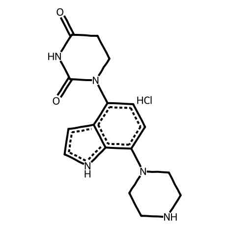 Cl.O=C1CCN(c2ccc(N3CCNCC3)c3[nH]ccc23)C(=O)N1